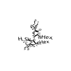 CCCCCCC1=C(c2s[c]([Sn]([CH3])([CH3])[CH3])cc2CCCCCC)S(=[SiH2])[C]([Sn]([CH3])([CH3])[CH3])=C1